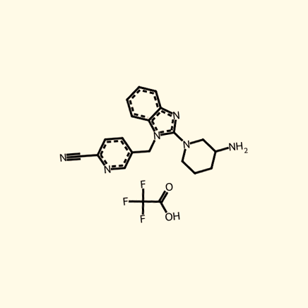 N#Cc1ccc(Cn2c(N3CCCC(N)C3)nc3ccccc32)cn1.O=C(O)C(F)(F)F